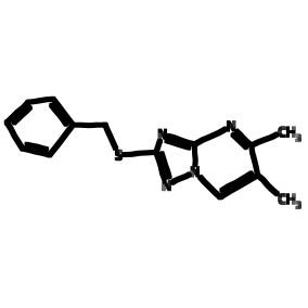 Cc1cn2nc(SCc3ccccc3)nc2nc1C